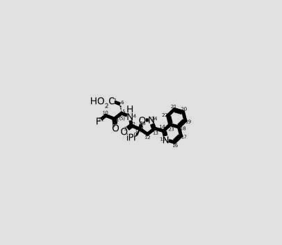 CC(C)[C@]1(C(=O)N[C@@H](CC(=O)O)C(=O)CF)CC(c2nccc3ccccc23)=NO1